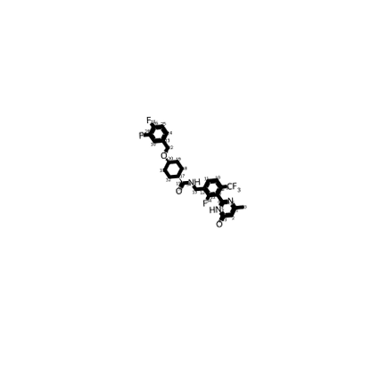 Cc1cc(=O)[nH]c(-c2c(C(F)(F)F)ccc(CNC(=O)[C@H]3CC[C@H](OCc4ccc(F)c(F)c4)CC3)c2F)n1